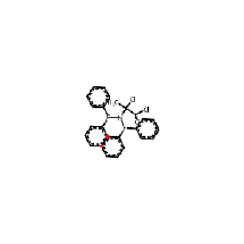 CC(Cl)(C(Cl)Cl)N(P(c1ccccc1)c1ccccc1)P(c1ccccc1)c1ccccc1